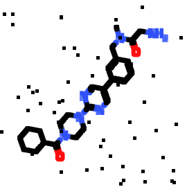 CN(Cc1cccc(-c2cnc(N3CCN(C(=O)C4CCCCC4)CC3)nc2)c1)C(=O)CN